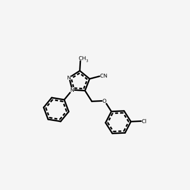 Cc1nn(-c2ccccc2)c(COc2cccc(Cl)c2)c1C#N